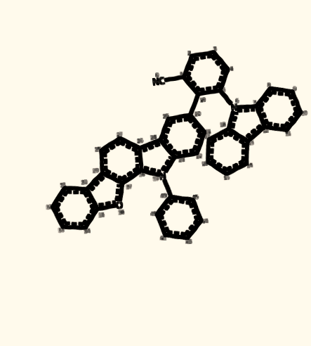 N#Cc1cccc(-n2c3ccccc3c3ccccc32)c1-c1ccc2c(c1)c1ccc3c4ccccc4oc3c1n2-c1ccccc1